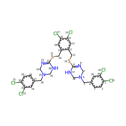 Clc1ccc(CN2CN=C(SCc3cc(Cl)c(Cl)cc3CSC3=NCN(Cc4ccc(Cl)c(Cl)c4)CN3)NC2)cc1Cl